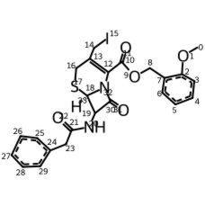 COc1ccccc1COC(=O)C1=C(CI)CS[C@@H]2C(NC(=O)Cc3ccccc3)C(=O)N12